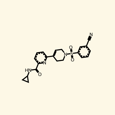 N#Cc1cccc(S(=O)(=O)N2CC=C(c3cccc(C(=O)NC4CC4)n3)CC2)c1